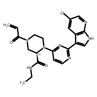 C=CC(=O)N1CCN(c2ccnc(-c3c[nH]c4ncc(Cl)cc34)n2)[C@@H](C(=O)NCC(F)(F)F)C1